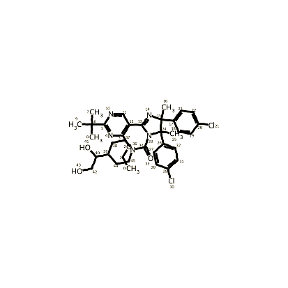 CCOc1nc(C(C)(C)C)ncc1C1=NC(C)(c2ccc(Cl)cc2)C(C)(c2ccc(Cl)cc2)N1C(=O)N1CCC(C(O)CO)CC1